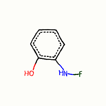 Oc1ccccc1NF